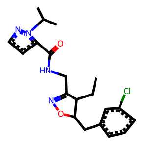 CCC1C(CNC(=O)c2ccnn2C(C)C)=NOC1Cc1cccc(Cl)c1